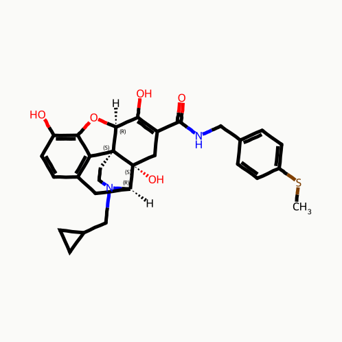 CSc1ccc(CNC(=O)C2=C(O)[C@@H]3Oc4c(O)ccc5c4[C@@]34CCN(CC3CC3)[C@H](C5)[C@]4(O)C2)cc1